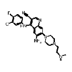 CN(C)CCN1CCN(c2cc3ncc(C#N)c(Nc4ccc(F)c(Cl)c4)c3cc2N)CC1